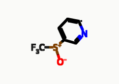 [O-][S+](c1cc[c]nc1)C(F)(F)F